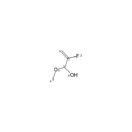 C=C(F)C(O)OI